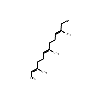 C/C=C(\C)CC/C=C(\C)CC/C=C(\C)CBr